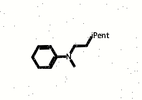 CCCC(C)CCN(C)C1=CCCC=C1